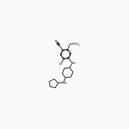 COc1cc(NC2CCC(NC3CCCC3)CC2)c(Cl)cc1C#N